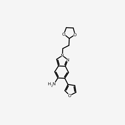 Nc1cc2cn(CCC3OCCO3)nc2cc1-c1ccoc1